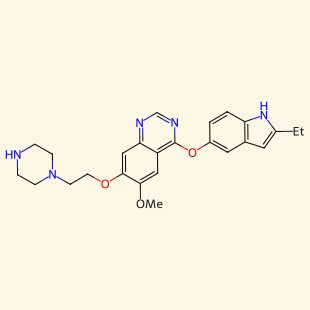 CCc1cc2cc(Oc3ncnc4cc(OCCN5CCNCC5)c(OC)cc34)ccc2[nH]1